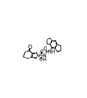 O=C(Nc1c2c(cc3c1CCC3)CCC2)NS(=O)(=O)n1cc2c(c1)C(=O)CCC2